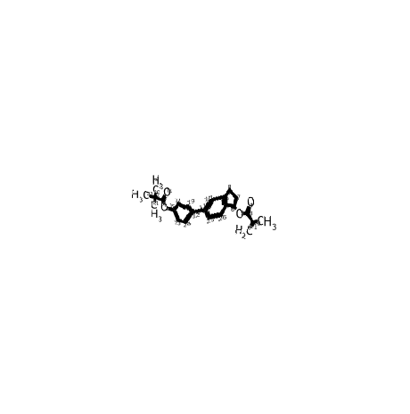 C=C(C)C(=O)OC1CCc2cc(-c3ccc(OC(=O)C(C)(C)C)cc3)ccc21